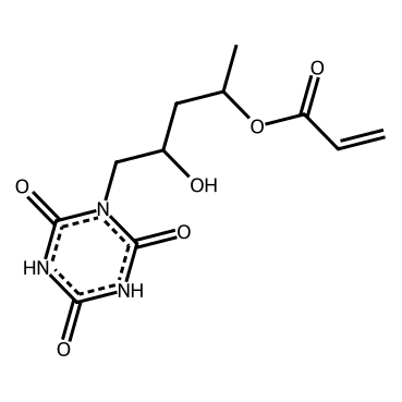 C=CC(=O)OC(C)CC(O)Cn1c(=O)[nH]c(=O)[nH]c1=O